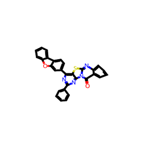 O=c1c2ccccc2nc2sc3c(-c4ccc5c(c4)oc4ccccc45)nc(-c4ccccc4)nc3n12